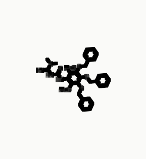 COc1c(NC(=O)NC(=N)N(C)C)c(OC)c(OCc2ccccc2)c(OCc2ccccc2)c1OCc1ccccc1